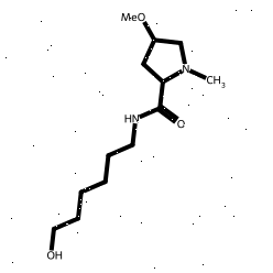 COC1CC(C(=O)NCCCCCCO)N(C)C1